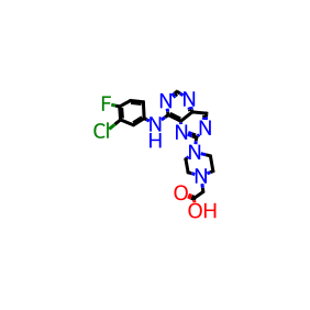 O=C(O)CN1CCN(c2ncc3ncnc(Nc4ccc(F)c(Cl)c4)c3n2)CC1